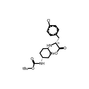 COC(=O)[C@@H](Cc1ccc(Cl)cc1)N[C@H]1CC[C@@H](NC(=O)OC(C)(C)C)CC1